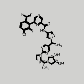 CC(c1cnc(N2CC[C@H]2[C@@H](C)N2C[C@@H](O)[C@@H](O)C2)nc1)n1cc(NC(=O)c2cncc(-c3c(C(F)F)ccc(Cl)c3F)n2)cn1